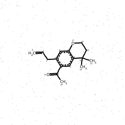 C=CCc1cc2c(cc1C(C)=O)C(C)(C)CCO2